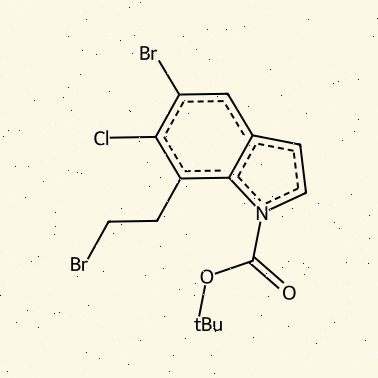 CC(C)(C)OC(=O)n1ccc2cc(Br)c(Cl)c(CCBr)c21